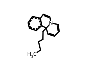 CCCCCC12C=CC=CN1C=Cc1ccccc12